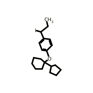 CCC(I)c1ccc(OC2(C3CCCC3)CCCCC2)cc1